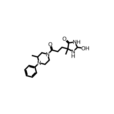 CC1CN(C(=O)CCC2(C)NC(O)NC2=O)CCN1c1ccccc1